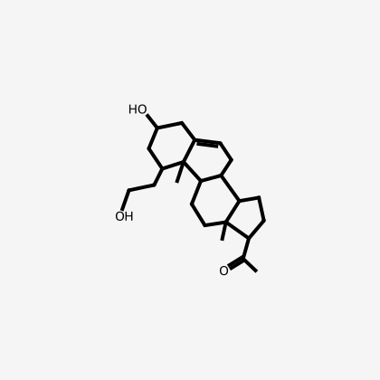 CC(=O)C1CCC2C3CC=C4CC(O)CC(CCO)C4(C)C3CCC12C